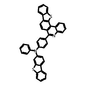 c1ccc(N(c2ccc(-c3nc4ccccc4c4c3ccc3c5ccccc5sc34)cc2)c2ccc3c(c2)sc2ccccc23)cc1